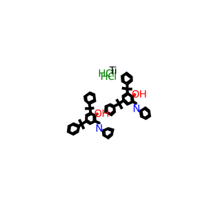 CC(C)(c1ccccc1)c1cc(C=Nc2ccccc2)c(O)c(C(C)(C)c2ccccc2)c1.CC(C)(c1ccccc1)c1cc(C=Nc2ccccc2)c(O)c(C(C)(C)c2ccccc2)c1.Cl.Cl.[Ti]